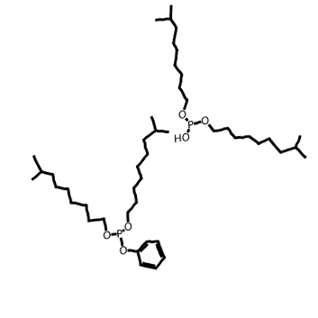 CC(C)CCCCCCCOP(O)OCCCCCCCC(C)C.CC(C)CCCCCCCOP(OCCCCCCCC(C)C)Oc1ccccc1